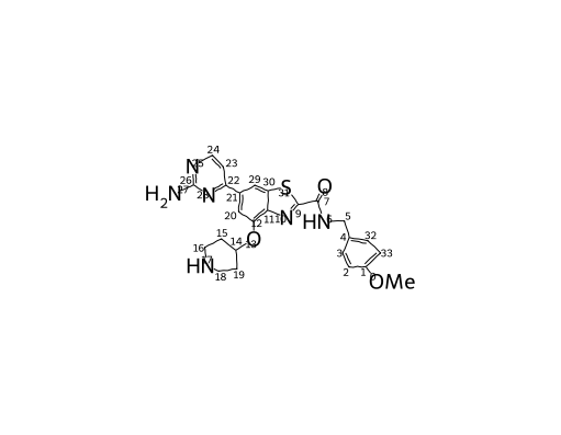 COc1ccc(CNC(=O)c2nc3c(OC4CCNCC4)cc(-c4ccnc(N)n4)cc3s2)cc1